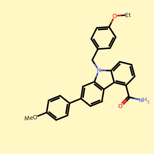 CCOc1ccc(Cn2c3cc(-c4ccc(OC)cc4)c[c]c3c3c(C(N)=O)cccc32)cc1